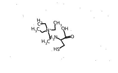 CC[N+](CC)(CC)CC.NC(CS)C(=O)O